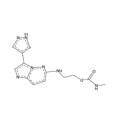 CNC(=O)OCCNc1ccc2ncc(-c3cn[nH]c3)n2n1